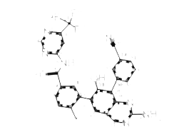 Cc1ccc(C(=O)Nc2cc(C(F)(F)F)ncn2)cc1-c1cc2cnc(N)nc2c(-c2cccc(C#N)c2)c1O